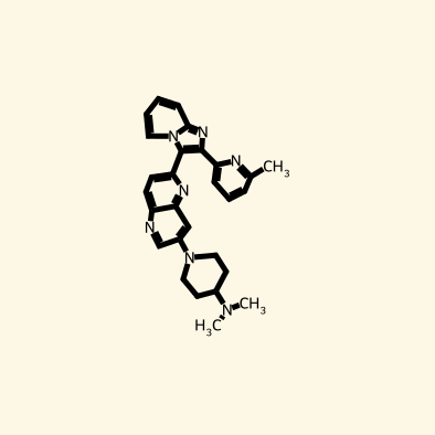 Cc1cccc(-c2nc3ccccn3c2-c2ccc3ncc(N4CCC(N(C)C)CC4)cc3n2)n1